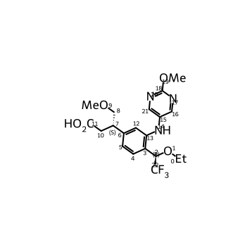 CCO[C@H](c1ccc([C@@H](COC)CC(=O)O)cc1Nc1cnc(OC)nc1)C(F)(F)F